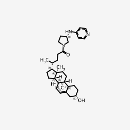 CC(CCC(=O)N1CC[C@H](Nc2ccncc2)C1)[C@H]1CC[C@H]2[C@@H]3CC=C4C[C@@H](O)CC[C@]4(C)[C@H]3CC[C@]12C